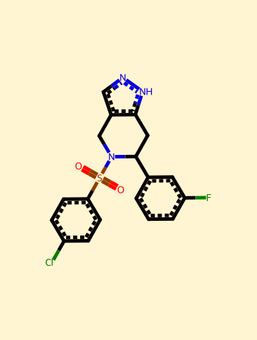 O=S(=O)(c1ccc(Cl)cc1)N1Cc2cn[nH]c2CC1c1cccc(F)c1